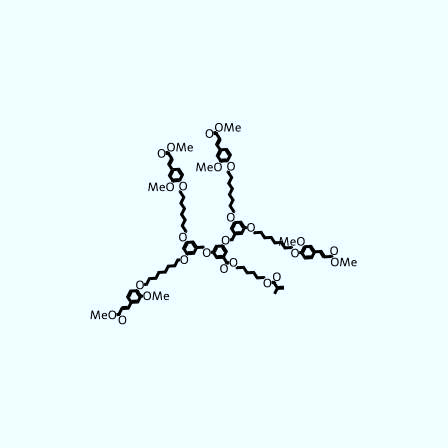 C=C(C)C(=O)OCCCCCCOC(=O)c1cc(OCc2cc(OCCCCCCCCOc3ccc(C=CC(=O)OC)cc3OC)cc(OCCCCCCCCOc3ccc(C=CC(=O)OC)cc3OC)c2)cc(OCc2cc(OCCCCCCCCOc3ccc(C=CC(=O)OC)cc3OC)cc(OCCCCCCCCOc3ccc(C=CC(=O)OC)cc3OC)c2)c1